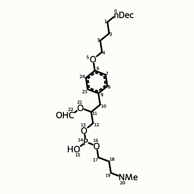 CCCCCCCCCCCCCCOc1ccc(CC(COP(O)OCCCNC)OC=O)cc1